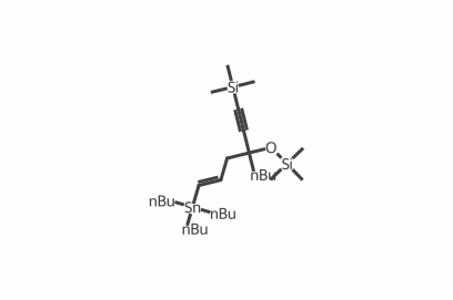 CCCCC(C#C[Si](C)(C)C)(C/C=[CH]/[Sn]([CH2]CCC)([CH2]CCC)[CH2]CCC)O[Si](C)(C)C